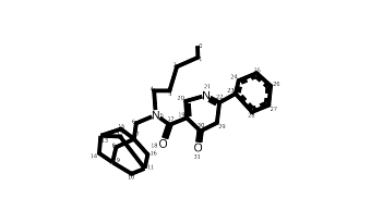 CCCCCN(CC12CC3CC(CC(C3)C1)C2)C(=O)C1=CN=C(c2ccccc2)CC1=O